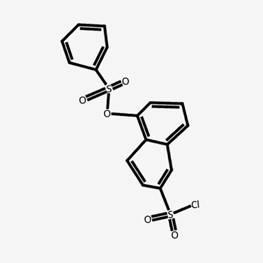 O=S(=O)(Cl)c1ccc2c(OS(=O)(=O)c3ccccc3)cccc2c1